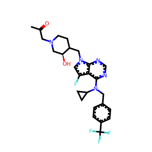 CC(=O)CN1CCC(Cn2cc(F)c3c(N(Cc4ccc(C(F)(F)F)cc4)C4CC4)ncnc32)[C@@H](O)C1